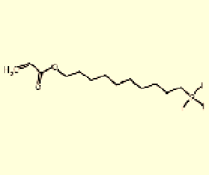 C=CC(=O)OCCCCCCCCCC[Si](I)(I)I